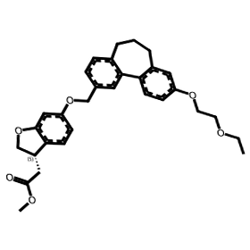 CCOCCOc1ccc2c(c1)CCCc1ccc(COc3ccc4c(c3)OC[C@H]4CC(=O)OC)cc1-2